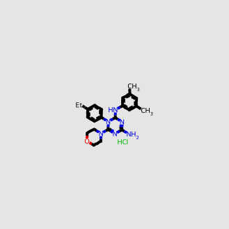 CCc1ccc(N2C(N3CCOCC3)=NC(N)=NC2Nc2cc(C)cc(C)c2)cc1.Cl